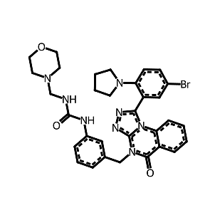 O=C(NCN1CCOCC1)Nc1cccc(Cn2c(=O)c3ccccc3n3c(-c4cc(Br)ccc4N4CCCC4)nnc23)c1